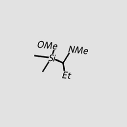 CCC(NC)[Si](C)(C)OC